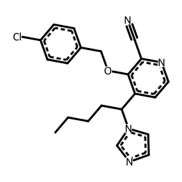 CCCCC(c1ccnc(C#N)c1OCc1ccc(Cl)cc1)n1ccnc1